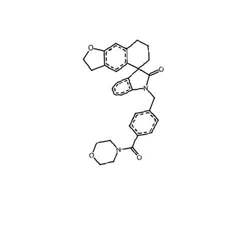 O=C(c1ccc(CN2C(=O)C3(CCCc4cc5c(cc43)CCO5)c3ccccc32)cc1)N1CCOCC1